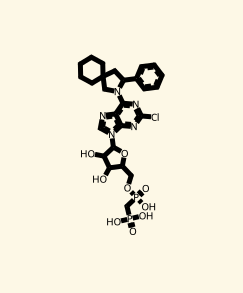 O=P(O)(O)CP(=O)(O)OCC1OC(n2cnc3c(N4CC5(CCCCC5)CC4c4ccccc4)nc(Cl)nc32)C(O)C1O